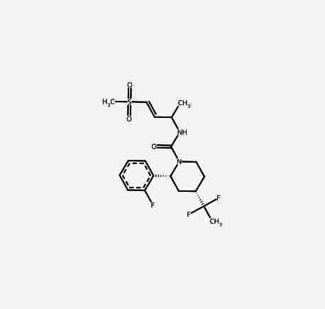 CC(/C=C/S(C)(=O)=O)NC(=O)N1CC[C@H](C(C)(F)F)C[C@@H]1c1ccccc1F